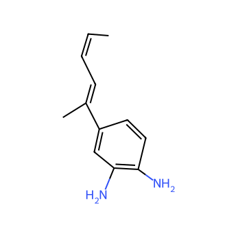 C/C=C\C=C(/C)c1ccc(N)c(N)c1